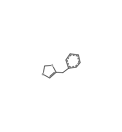 C1=C(Cc2ccccc2)SC[N]1